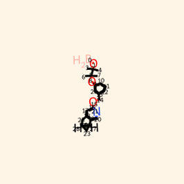 BOC(C)(C)C(C)(C)Oc1cccc(COc2cc3c(cn2)[C@@H]2C[C@@H]2C3)c1